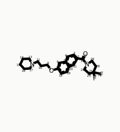 O=C(c1ccc2cc(OCCCN3CCCCC3)ccc2c1)N1CCC(F)(F)CC1